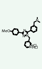 COc1ccc(-c2nc(-c3cccc(CN(C)C)c3)n(Cc3cccnc3)n2)cc1.Cl.Cl